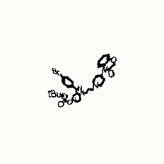 CC(C)(C)OC(=O)ON1CCc2c(c(-c3ccc(Br)cc3)nn2CCCN2CCC(N3C(=O)COc4ccccc43)CC2)C1